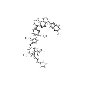 Cc1c(Nc2nc3cc(F)ccc3s2)nnc2c1CCCN2c1ccc(-c2cnn(CC34CC5(C)CC6(OCCN7CCCC7)CC(C)(C3)C6(C5)C4)c2C)c(C(=O)O)n1